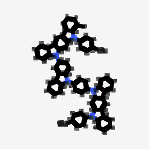 Cc1cccc2c3cc4c5ccccc5n(-c5ccc6c(c5)c5ccccc5n6-c5ccc(-n6c7ccccc7c7cc8c9ccccc9n(-c9ccc(C(C)(C)C)cc9)c8cc76)cc5)c4cc3n(-c3ccc(C(C)(C)C)cc3)c12